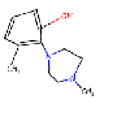 Cc1cccc(O)c1N1CCN(C)CC1